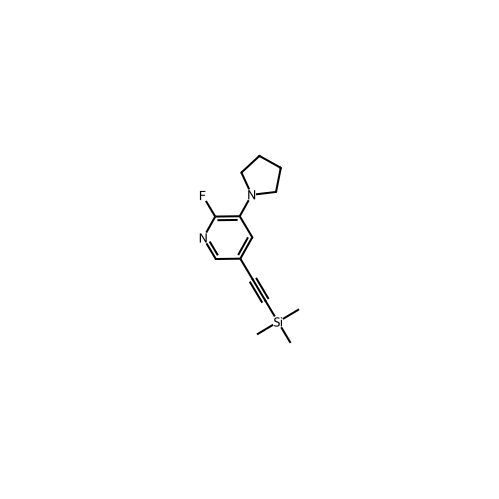 C[Si](C)(C)C#Cc1cnc(F)c(N2CCCC2)c1